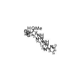 COc1cc(Nc2nccc(Nc3ccnc(-c4cccc(C)n4)n3)n2)ccc1NS(C)(=O)=O